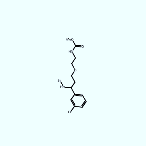 CCNC(CCOCCNC(=O)OC)c1cccc(Cl)c1